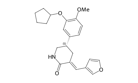 COc1ccc([C@H]2CNC(=O)C(=Cc3ccoc3)C2)cc1OC1CCCC1